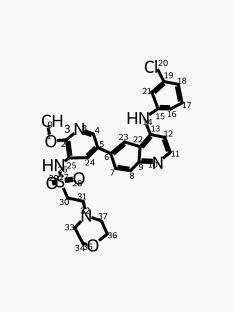 COc1ncc(-c2ccc3nccc(Nc4cccc(Cl)c4)c3c2)cc1NS(=O)(=O)CCN1CCOCC1